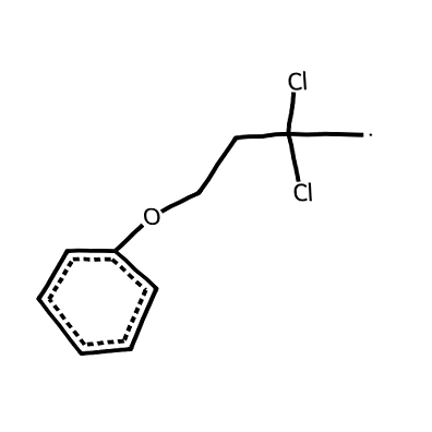 [CH2]C(Cl)(Cl)CCOc1ccccc1